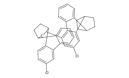 Clc1ccc2c(c1)-c1ccccc1C21C2CCC1C(c1cc(Cl)cc3c1-c1ccccc1C31C3CCC1CC3)C2